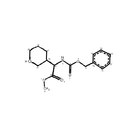 COC(=O)C(NC(=O)OCc1ccccc1)C1CCCOC1